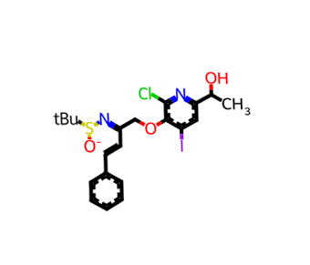 CC(O)c1cc(I)c(OCC(/C=C/c2ccccc2)=N/[S+]([O-])C(C)(C)C)c(Cl)n1